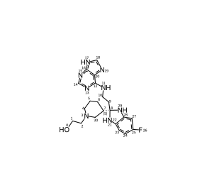 OCCN1CCC[C@H](C2(CCNc3ncnc4[nH]cnc34)Nc3ccc(F)cc3N2)C1